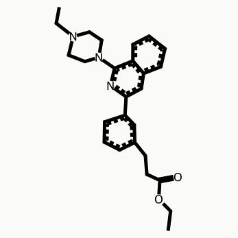 CCOC(=O)CCc1cccc(-c2cc3ccccc3c(N3CCN(CC)CC3)n2)c1